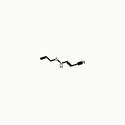 C=CCSNC=CC#N